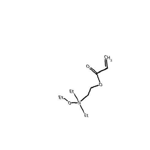 C=CC(=O)OCC[Si](CC)(CC)OCC